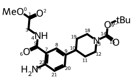 COC(=O)CNC(=O)c1cc(C2CCN(C(=O)OC(C)(C)C)CC2)ccc1N